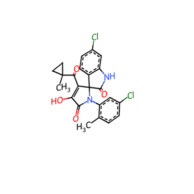 Cc1ccc(Cl)cc1N1C(=O)C(O)=C(C(=O)C2(C)CC2)C12C(=O)Nc1cc(Cl)ccc12